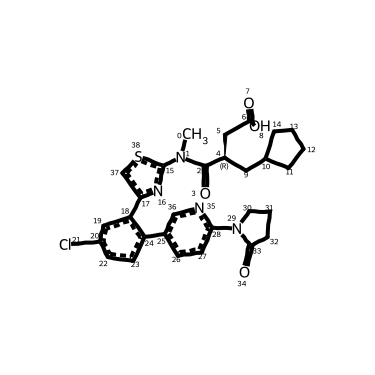 CN(C(=O)[C@@H](CC(=O)O)CC1CCCC1)c1nc(-c2cc(Cl)ccc2-c2ccc(N3CCCC3=O)nc2)cs1